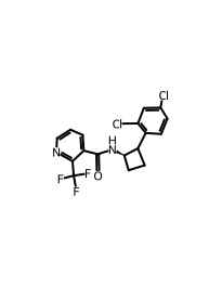 O=C(N[C@@H]1CCC1c1ccc(Cl)cc1Cl)c1cccnc1C(F)(F)F